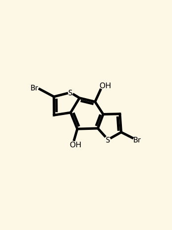 Oc1c2cc(Br)sc2c(O)c2cc(Br)sc12